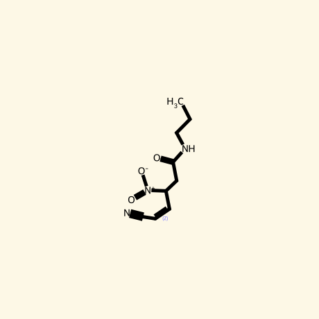 CCCNC(=O)CC(/C=C\C#N)[N+](=O)[O-]